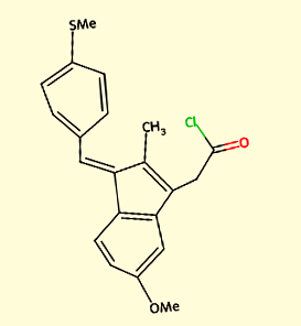 COc1ccc2c(c1)C(CC(=O)Cl)=C(C)C2=Cc1ccc(SC)cc1